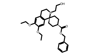 CCOc1cc2c(cc1OCC)[C@]1(CC[C@H](C(=O)OCc3ccccc3)CC1)N(CCO)CC2